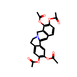 CC(=O)Oc1cc2c(cc1OC(C)=O)C1=Cc3ccc(OC(C)=O)c(OC(C)=O)c3CN1CC2